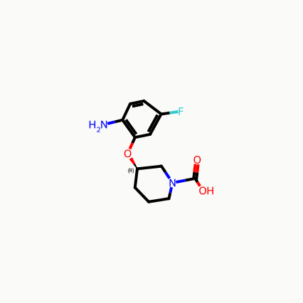 Nc1ccc(F)cc1O[C@@H]1CCCN(C(=O)O)C1